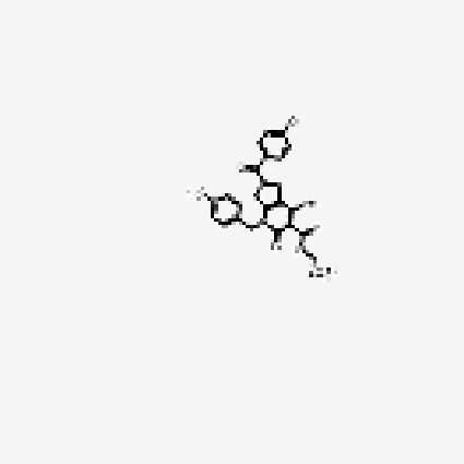 O=C(O)CNC(=O)c1c(O)c2c(n(Cc3ccc(C(F)(F)F)cc3)c1=O)CN(C(=O)c1ccc(Cl)cc1)C2